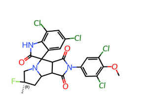 COc1c(Cl)cc(N2C(=O)C3C4C[C@@](C)(F)CN4C4(C(=O)Nc5c(Cl)cc(Cl)cc54)C3C2=O)cc1Cl